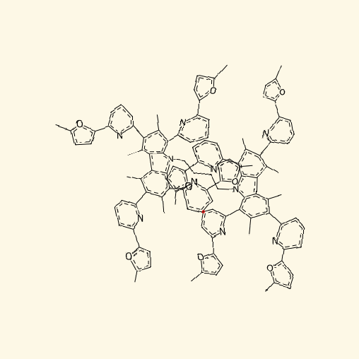 Cc1ccc(-c2cccc(-c3c(C)c(-c4cccc(-c5ccc(C)o5)n4)c4c(c3C)c3c(C)c(-c5cccc(-c6ccc(C)o6)n5)c(C)c(-c5cccc(-c6ccc(C)o6)n5)c3n4CCCCn3c4c(-c5cccc(-c6ccc(C)o6)n5)c(C)c(-c5cccc(-c6ccc(C)o6)n5)c(C)c4c4c(C)c(-c5cccc(-c6ccc(C)o6)n5)c(C)c(-c5cccc(-c6ccc(C)o6)n5)c43)n2)o1